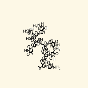 Cc1cn([C@H]2C[C@@H](OP(=O)(S)OCC3O[C@@H](n4cnc5c(=O)[nH]c(N)nc54)C[C@H]3OP(=O)(S)OCC3O[C@@H](n4cc(C)c(=O)[nH]c4=O)C[C@H]3OP(=O)(S)OCC3O[C@@H](n4ccc(N)nc4=O)C[C@H]3C(C)C)C(COP(=O)(S)O[C@@H]3C[C@H](n4cnc5c(=O)[nH]c(N)nc54)OC3COP(=O)(O)S)O2)c(=O)[nH]c1=O